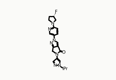 CC(C)n1cc(N2Cc3nn(-c4ccc(N5CC[C@H](F)C5)nc4)cc3C2=O)cn1